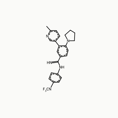 Cc1ccc(-c2cc(C(=N)Nc3ccc(NC(F)(F)F)cc3)ccc2N2CCCC2)cn1